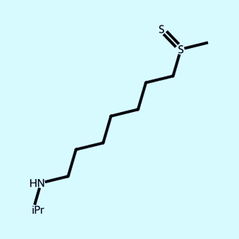 CC(C)NCCCCCCCS(C)=S